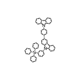 c1ccc([Si](c2ccccc2)(c2ccccc2)c2cccc(-n3c4ccccc4c4cc(-c5ccc(-n6c7ccccc7c7ccccc76)cc5)ccc43)c2)cc1